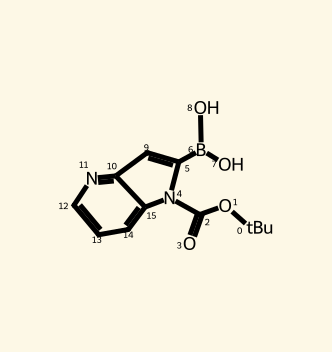 CC(C)(C)OC(=O)n1c(B(O)O)cc2ncccc21